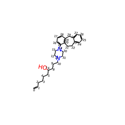 C=CCCCCC(O)CCCN1CCN(c2cccc3c2CCc2ccccc2C3)CC1